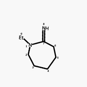 CCN1CCCCCC1=N